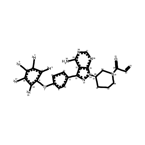 [2H]c1c([2H])c([2H])c(Oc2ccc(-c3nn([C@@H]4CCCN(C(=O)C=C)C4)c4ncnc(N)c34)cc2)c([2H])c1[2H]